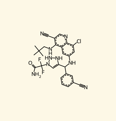 CC(C)(C)CNc1c(C#N)cnc2c(Cl)cc(NC(C3=CN(C(F)(F)C(N)=O)NN3)c3cccc(C#N)c3)cc12